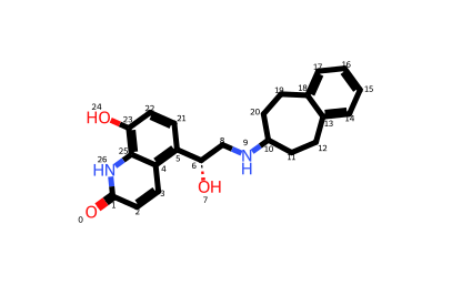 O=c1ccc2c([C@@H](O)CNC3CCc4ccccc4CC3)ccc(O)c2[nH]1